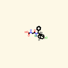 O=C(O)NCC(=O)NC(c1ccccc1)[C@H]1[C@H]2C[C@@H]3C[C@](Cl)(C2)C[C@@]1(Cl)C3